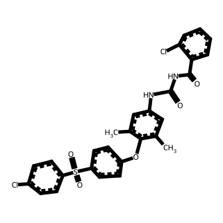 Cc1cc(NC(=O)NC(=O)c2ccccc2Cl)cc(C)c1Oc1ccc(S(=O)(=O)c2ccc(Cl)cc2)cc1